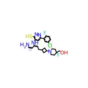 N/C=C\C(=C/CC1CC(N2CCC(F)(CO)CC2)C1)Nc1cc(-c2cc(Cl)ccc2F)nnc1S